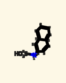 O=S(=O)(O)[N]c1ccc2ccccc2c1